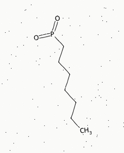 CCCCCCCP(=O)=O